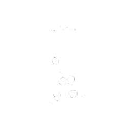 CO[Si](C)(CCCSCCc1ccc(CNc2ccc(C(c3ccc(N(C)C)cc3)c3ccc(N(C)C)cc3)c3ccccc23)cc1)OC